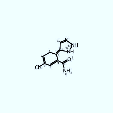 NC(=O)C1=CC(Cl)=CCC1=C1C=CNN1